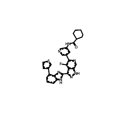 O=C(Nc1cncc(-c2ncc3[nH]nc(-c4nc5c(-c6ccsc6)cccc5[nH]4)c3c2F)c1)C1CCCCC1